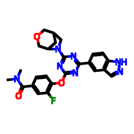 CN(C)C(=O)c1ccc(Oc2nc(-c3ccc4[nH]ncc4c3)nc(N3CC4COCC3C4)n2)c(F)c1